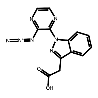 [N-]=[N+]=Nc1nccnc1-n1nc(CC(=O)O)c2ccccc21